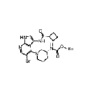 CC(C)(C)OC(=O)N[C@@H]1CCCN(c2c(Br)cnc3[nH]cc(NC(=O)C4CCC4)c23)C1